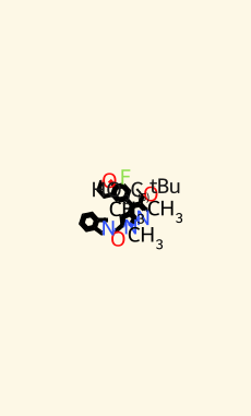 Cc1nc2c(cc(C(=O)N3Cc4ccccc4C3)n2C)c(-c2cc(F)c3c(c2C)CCCO3)c1[C@H](OC(C)(C)C)C(=O)O